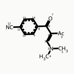 CC(=O)C(=CN(C)C)C(=O)c1ccc(C#N)cc1